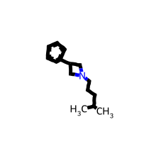 CC(C)CCCN1CC(c2ccccc2)C1